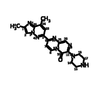 Cc1cn2nc(-c3ccn4c(=O)c(N5CCNCC5)ncc4n3)cc(C)c2n1